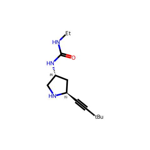 CCNC(=O)N[C@H]1CN[C@H](C#CC(C)(C)C)C1